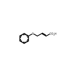 O=C(O)C=CCSc1ccccc1